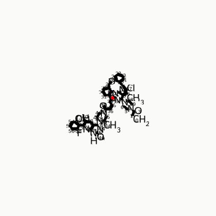 C=CC(=O)N1CCN(c2nc(=O)n3c4nc(c(Cl)cc24)-c2ccccc2OCc2cccc(CC/C=C\C(=O)N4CCN(c5nc(=O)[nH]c6nc(-c7c(O)cccc7F)c(Cl)cc56)[C@@H](C)C4)c2-3)[C@@H](C)C1